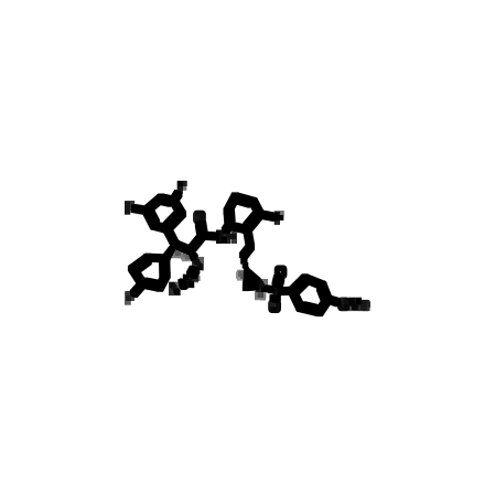 COc1ccc(S(=O)(=O)[N@@]2C[C@@H]2CCc2c(F)cccc2NC(=O)[C@@H](N=[N+]=[N-])[C@@H](c2ccc(F)cc2)c2cc(F)cc(F)c2)cc1